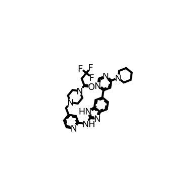 O=C(CC(F)(F)F)N1CCN(Cc2ccnc(Nc3nc4ccc(-c5cc(N6CCCCC6)ncn5)cc4[nH]3)c2)CC1